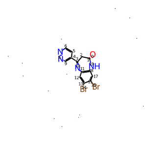 O=C1CC(c2ccnnc2)=Nc2cc(Br)c(Br)cc2N1